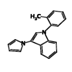 Cc1ccccc1-n1cc(-n2cccc2)c2ccccc21